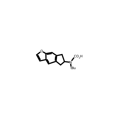 CC(C)(C)N(C(=O)O)C1Cc2cc3ccoc3cc2C1